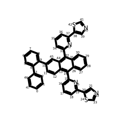 c1ccc(-c2ccccc2-c2ccc3c(-c4cccc(-c5cncs5)n4)c4ccccc4c(-c4cccc(-c5cncs5)n4)c3c2)cc1